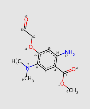 COC(=O)c1cc(N(C)C)c(OCC=O)cc1N